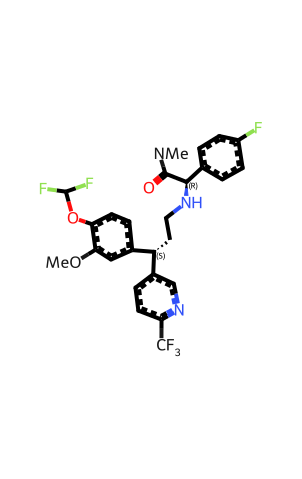 CNC(=O)[C@H](NCC[C@H](c1ccc(C(F)(F)F)nc1)c1ccc(OC(F)F)c(OC)c1)c1ccc(F)cc1